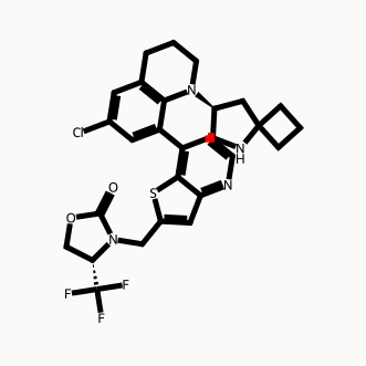 O=C1OC[C@@H](C(F)(F)F)N1Cc1cc2nccc(-c3cc(Cl)cc4c3N([C@@H]3CNC5(CCC5)C3)CCC4)c2s1